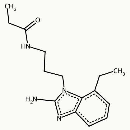 CCC(=O)NCCCn1c(N)nc2cccc(CC)c21